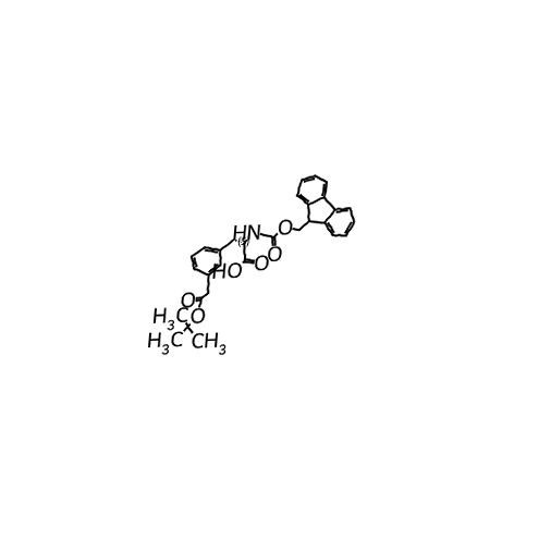 CC(C)(C)OC(=O)Cc1cccc(C[C@H](NC(=O)OCC2c3ccccc3-c3ccccc32)C(=O)O)c1